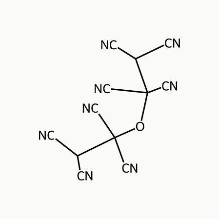 N#CC(C#N)C(C#N)(C#N)OC(C#N)(C#N)C(C#N)C#N